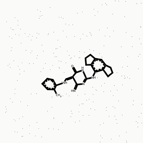 Cc1ccccc1N/C=C1\C(=N)N=C(Nc2c3c(cc4c2CCC4)CCC3)NC1=O